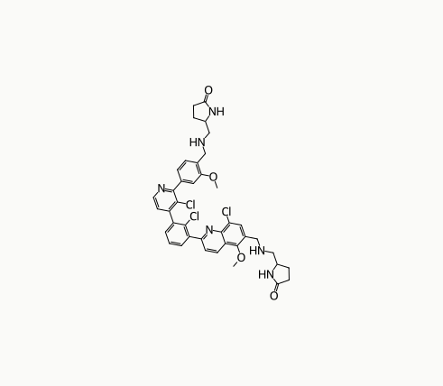 COc1cc(-c2nccc(-c3cccc(-c4ccc5c(OC)c(CNCC6CCC(=O)N6)cc(Cl)c5n4)c3Cl)c2Cl)ccc1CNCC1CCC(=O)N1